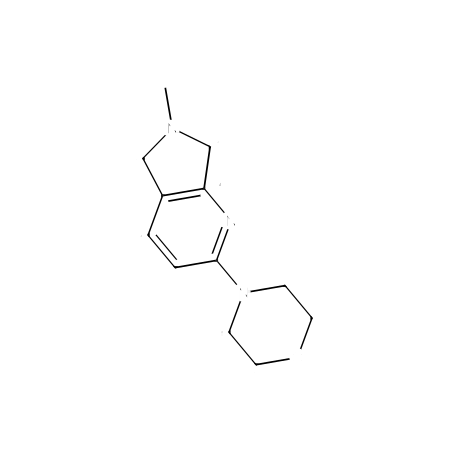 CN1Cc2ccc(N3CCOCC3)nc2C1